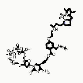 C=C(CCC1=[NH+]\[B-](F)(F)n2c(C)cc(C)c2/C=C(C)/C=C\1)NCCOc1ccc(C(=O)OCC#Cc2cn([C@H]3CC(OCN=[N+]=[N-])[C@@H](COP(=O)(O)OP(=O)(O)OP(=O)(O)O)O3)c(=O)nc2N)c(CN=[N+]=[N-])c1